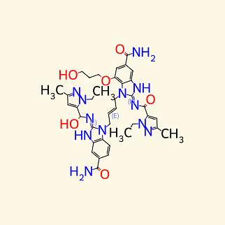 CCn1nc(C)cc1C(=O)/N=c1\[nH]c2cc(C(N)=O)cc(OCCCO)c2n1C/C=C/Cn1/c(=N/C(O)c2cc(C)nn2CC)[nH]c2cc(C(N)=O)ccc21